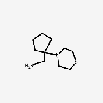 NCC1(N2CCOCC2)CCCC1